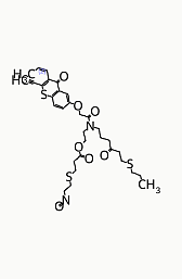 C#Cc1sc2ccc(OCC(=O)N(CCCC(=O)CCSCCC)CCOC(=O)CCSCCN=O)cc2c(=O)c1/C=C\C